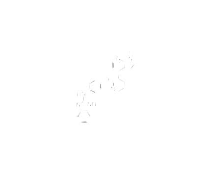 c1cnc(Oc2ccc(Nc3nc4ccccc4[nH]3)cc2)c(-c2ccnc3[nH]ccc23)c1